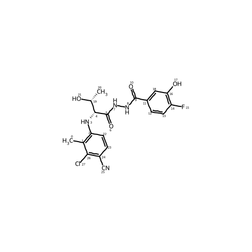 Cc1c(N[C@@H](C(=O)NNC(=O)c2ccc(F)c(O)c2)[C@@H](C)O)ccc(C#N)c1Cl